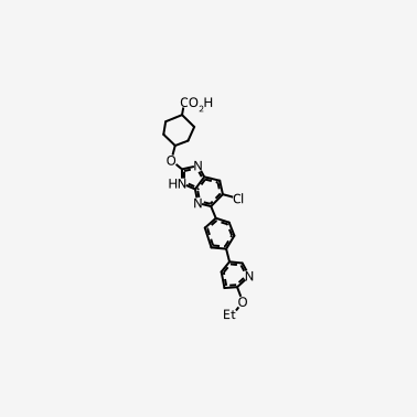 CCOc1ccc(-c2ccc(-c3nc4[nH]c(OC5CCC(C(=O)O)CC5)nc4cc3Cl)cc2)cn1